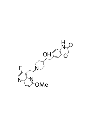 COc1ccc2ncc(F)c(CCN3CCC(C(O)Cc4ccc5c(c4)OCC(=O)N5)CC3)c2n1